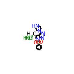 Cc1cn(S(=O)(=O)c2ccccc2)c2ncnc(N3CCNCC3)c12.Cl.Cl